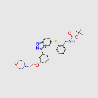 CC(C)(C)OC(=O)NCc1ccccc1Sc1ccc2nnc(C3C=C(OCCN4CCOCC4)C=CC3)n2c1